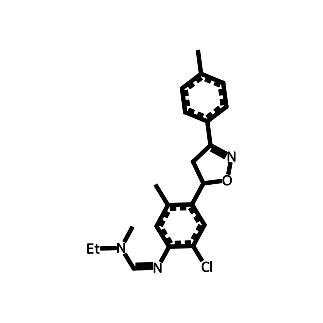 CCN(C)/C=N\c1cc(C)c(C2CC(c3ccc(C)cc3)=NO2)cc1Cl